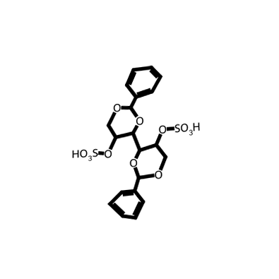 O=S(=O)(O)OC1COC(c2ccccc2)OC1C1OC(c2ccccc2)OCC1OS(=O)(=O)O